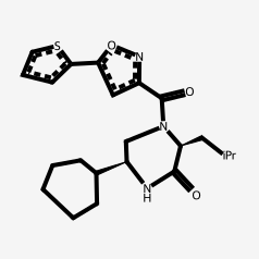 CC(C)C[C@H]1C(=O)N[C@@H](C2CCCCC2)CN1C(=O)c1cc(-c2cccs2)on1